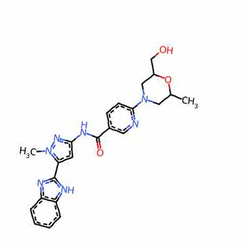 CC1CN(c2ccc(C(=O)Nc3cc(-c4nc5ccccc5[nH]4)n(C)n3)cn2)CC(CO)O1